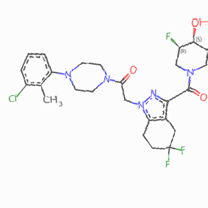 Cc1c(Cl)cccc1N1CCN(C(=O)Cn2nc(C(=O)N3CC[C@H](O)[C@H](F)C3)c3c2CCC(F)(F)C3)CC1